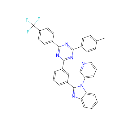 Cc1ccc(-c2nc(-c3ccc(C(F)(F)F)cc3)nc(-c3cccc(-c4nc5ccccc5n4-c4cccnc4)c3)n2)cc1